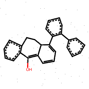 OC1=C2C=CC=C(c3ccccc3-c3ccccc3)C2CCc2ccccc21